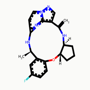 C=C1N[C@H]2CCC[C@@H]2Oc2ccc(F)cc2[C@@H](C)Nc2ccn3ncc1c3n2